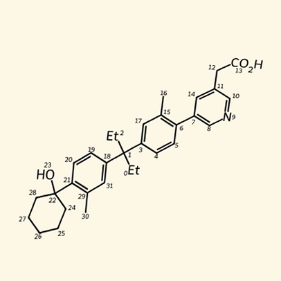 CCC(CC)(c1ccc(-c2cncc(CC(=O)O)c2)c(C)c1)c1ccc(C2(O)CCCCC2)c(C)c1